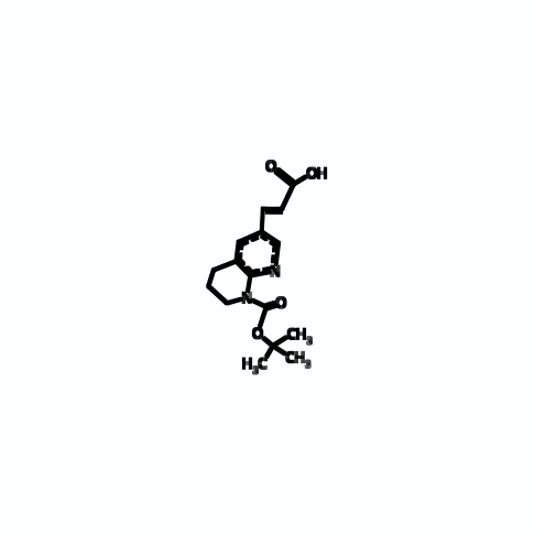 CC(C)(C)OC(=O)N1CCCc2cc(C=CC(=O)O)cnc21